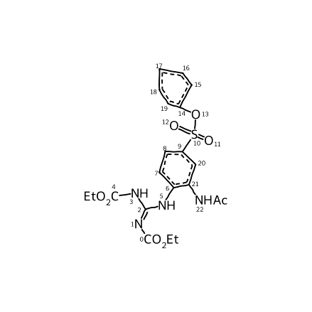 CCOC(=O)/N=C(/NC(=O)OCC)Nc1ccc(S(=O)(=O)Oc2ccccc2)cc1NC(C)=O